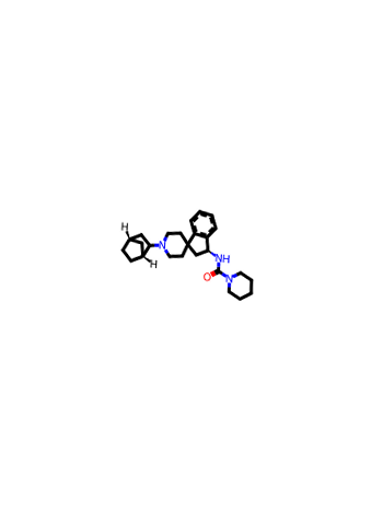 O=C(N[C@H]1CC2(CCN(C3C[C@H]4CC[C@@H]3C4)CC2)c2ccccc21)N1CCCCC1